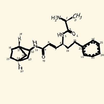 C[C@H](N)C(=O)N[C@H](/C=C/C(=O)NC1C[C@H]2CC[C@H]1C2)CCc1ccccc1